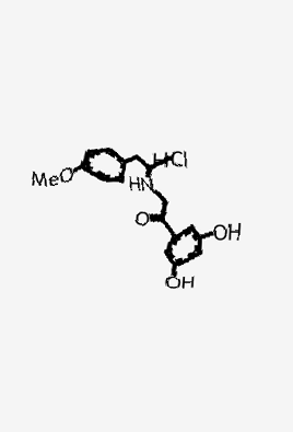 COc1ccc(CC(C)NCC(=O)c2cc(O)cc(O)c2)cc1.Cl